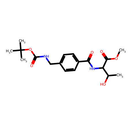 COC(=O)C(NC(=O)c1ccc(CNC(=O)OC(C)(C)C)cc1)C(C)O